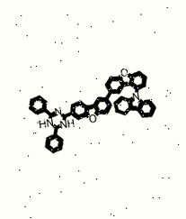 C1=Cc2c(c3ccccc3n2-c2cccc3oc4ccc(-c5ccc6oc7cc(C8N=C(c9ccccc9)NC(c9ccccc9)N8)ccc7c6c5)cc4c23)CC1